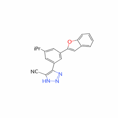 CC(C)c1cc(-c2cc3ccccc3o2)cc(-c2nn[nH]c2C#N)c1